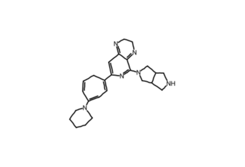 C1=CC(N2CCCCC2)=CC=C(c2cc3c(c(N4CC5CNCC5C4)n2)=NCCN=3)C1